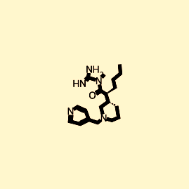 CCCC[C@H](C(=O)N(C)C(=N)N)[C@@H]1CCCN(Cc2ccncc2)C1